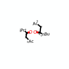 CC(=O)CC(=O)C(C)C.CCCCC(=O)CC(C)=O